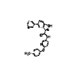 Cc1ccc(Oc2ccc(NC(=O)c3n[nH]c4ccc(-c5cccnc5)cc34)cn2)cc1